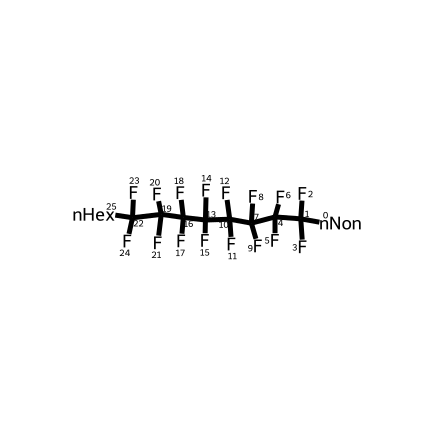 CCCCCCCCCC(F)(F)C(F)(F)C(F)(F)C(F)(F)C(F)(F)C(F)(F)C(F)(F)C(F)(F)CCCCCC